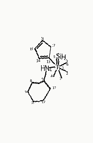 [CH3][Ti]([CH3])([CH3])([CH3])(=[SiH2])([NH]C1CCCCC1)[C]1=CC=CC1